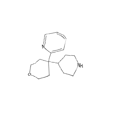 c1ccc(C2(C3CCNCC3)CCOCC2)nc1